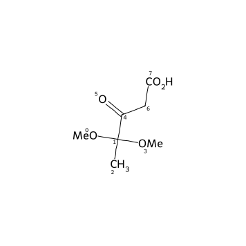 COC(C)(OC)C(=O)CC(=O)O